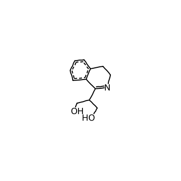 OCC(CO)C1=NCCc2ccccc21